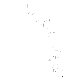 NCC(=O)NC[C@H]1CN(c2ccc(N3CCN(C(=O)CNC(=O)c4cn5ccncc5n4)CC3)c(F)c2)C(=O)O1